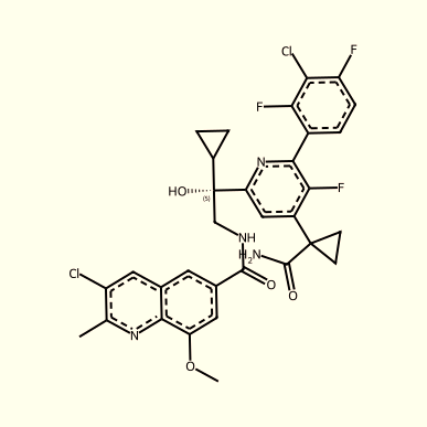 COc1cc(C(=O)NC[C@](O)(c2cc(C3(C(N)=O)CC3)c(F)c(-c3ccc(F)c(Cl)c3F)n2)C2CC2)cc2cc(Cl)c(C)nc12